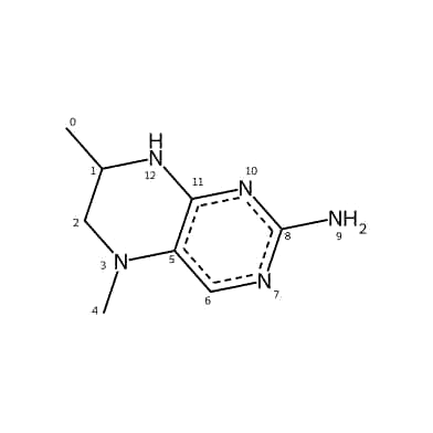 CC1CN(C)c2cnc(N)nc2N1